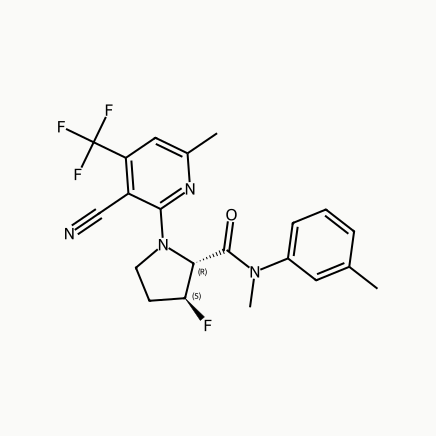 Cc1cccc(N(C)C(=O)[C@@H]2[C@@H](F)CCN2c2nc(C)cc(C(F)(F)F)c2C#N)c1